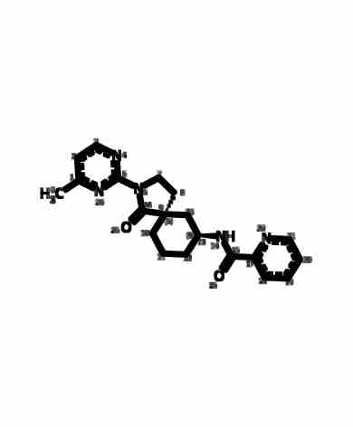 Cc1ccnc(N2CC[C@]3(CCC[C@H](NC(=O)c4ccccn4)C3)C2=O)n1